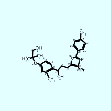 Cc1cc(OC(C)(C)CO)ccc1C(O)CCc1sc(-c2ccc(C(F)(F)F)cc2)nc1C(C)C